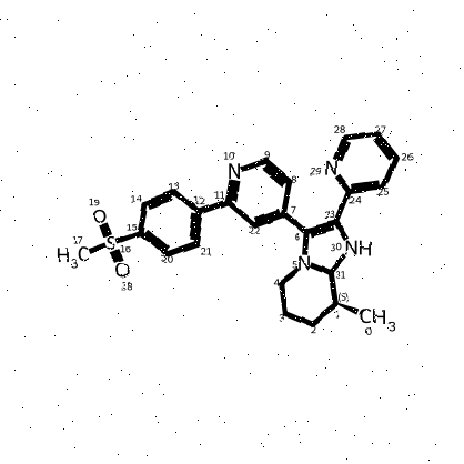 C[C@H]1CCCN2C(c3ccnc(-c4ccc(S(C)(=O)=O)cc4)c3)=C(c3ccccn3)NC12